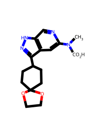 CN(C(=O)O)c1cc2c(C3CCC4(CC3)OCCO4)n[nH]c2cn1